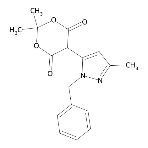 Cc1cc(C2C(=O)OC(C)(C)OC2=O)n(Cc2ccccc2)n1